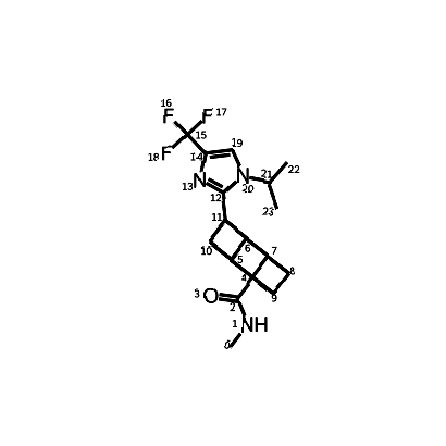 CNC(=O)C12C3C4C1C1C2C3C41c1nc(C(F)(F)F)cn1C(C)C